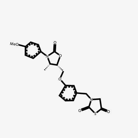 COc1ccc(N2C(=O)O[C@H](COc3cccc(CN4CC(=O)SC4=O)c3)[C@@H]2C)cc1